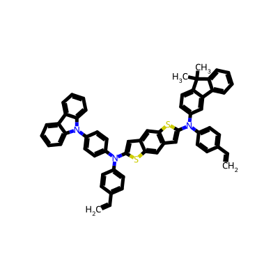 C=Cc1ccc(N(c2ccc(-n3c4ccccc4c4ccccc43)cc2)c2cc3cc4sc(N(c5ccc(C=C)cc5)c5ccc6c(c5)-c5ccccc5C6(C)C)cc4cc3s2)cc1